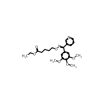 CCOC(=O)CCCCO/N=C(/c1cccnc1)c1cc(OC)c(OC)c(OC)c1